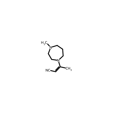 C/C(=C/C#N)N1CCCN(C)CC1